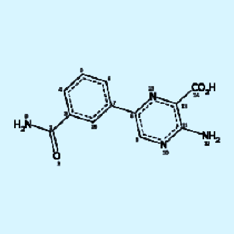 NC(=O)c1cccc(-c2cnc(N)c(C(=O)O)n2)c1